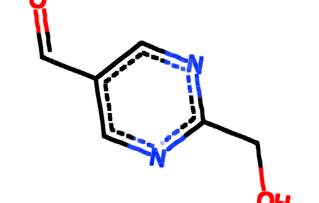 O=Cc1cnc(CO)nc1